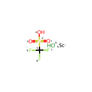 Cl.O=S(=O)(O)C(F)(F)F.[Sc]